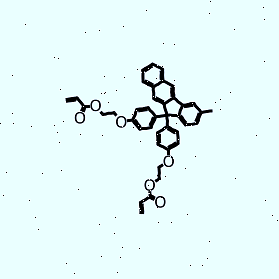 C=CC(=O)OCCOc1ccc(C2(c3ccc(OCCOC(=O)C=C)cc3)c3ccc(C)cc3-c3cc4ccccc4cc32)cc1